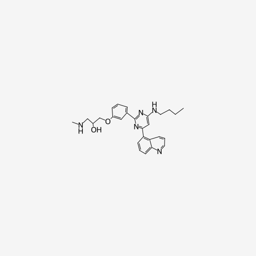 CCCCNc1cc(-c2cccc3ncccc23)nc(-c2cccc(OCC(O)CNC)c2)n1